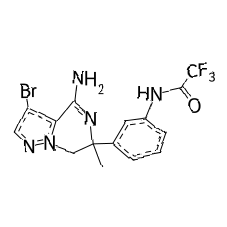 CC1(c2cccc(NC(=O)C(F)(F)F)c2)Cn2ncc(Br)c2C(N)=N1